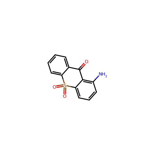 Nc1cccc2c1C(=O)c1ccccc1S2(=O)=O